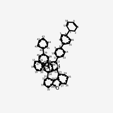 C1=CCC(c2ccc(-c3ccc(-c4nc(-c5ccccc5)nc(-c5cccc6oc7cccc(-c8ccc9cc(-c%10ccccc%10)ccc9c8)c7c56)n4)cc3)cc2)C=C1